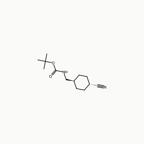 CC(C)(C)OC(=O)NC[C@H]1CC[C@H](C#N)CC1